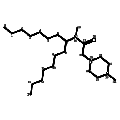 CCCCCCCC(CCCCCCC)N(C)C(=O)CN1CCN(C)CC1